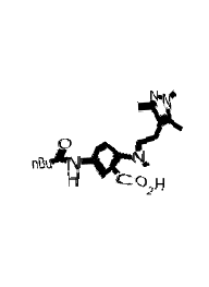 CCCCC(=O)Nc1ccc(N(C)CCc2c(C)nn(C)c2C)c(C(=O)O)c1